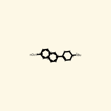 CCCCCCCCc1ccc2cc(C3=CCC(CCCC)CC3)ccc2c1